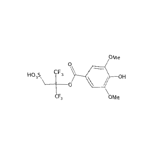 COc1cc(C(=O)OC(CS(=O)(=O)O)(C(F)(F)F)C(F)(F)F)cc(OC)c1O